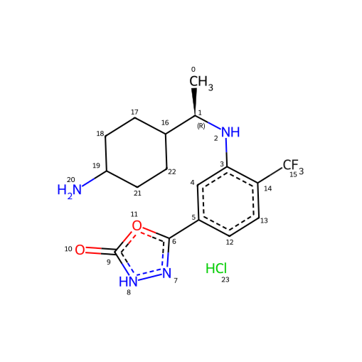 C[C@@H](Nc1cc(-c2n[nH]c(=O)o2)ccc1C(F)(F)F)C1CCC(N)CC1.Cl